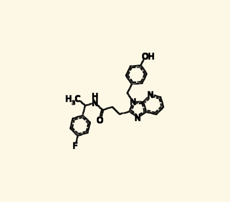 CC(NC(=O)CCc1nc2cccnc2n1Cc1ccc(O)cc1)c1ccc(F)cc1